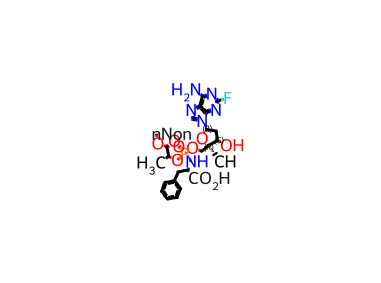 C#C[C@]1(COP(=O)(NC(Cc2ccccc2)C(=O)O)OC(C)C(=O)OCCCCCCCCC)O[C@@H](n2cnc3c(N)nc(F)nc32)C[C@@H]1O